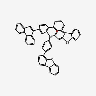 c1ccc(-c2ccc(-c3cc4ccccc4c4ccccc34)cc2N(c2ccc(-c3cccc4c3sc3ccccc34)cc2)c2ccc3c(c2)oc2ccccc23)cc1